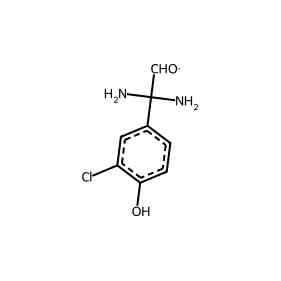 NC(N)([C]=O)c1ccc(O)c(Cl)c1